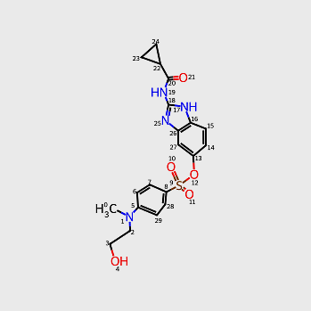 CN(CCO)c1ccc(S(=O)(=O)Oc2ccc3[nH]c(NC(=O)C4CC4)nc3c2)cc1